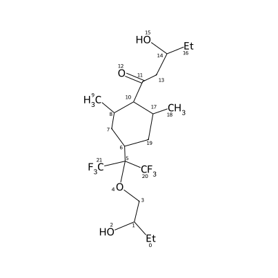 CCC(O)COC(C1CC(C)C(C(=O)CC(O)CC)C(C)C1)(C(F)(F)F)C(F)(F)F